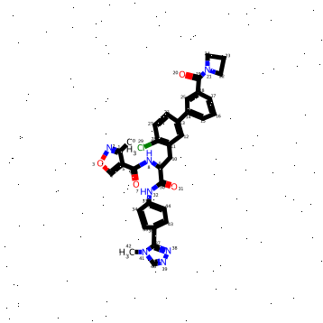 Cc1nocc1C(=O)NC(Cc1cc(-c2cccc(C(=O)N3CCC3)c2)ccc1Cl)C(=O)Nc1ccc(-c2nncn2C)cc1